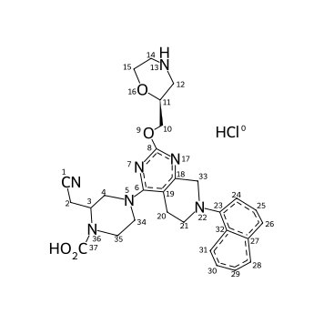 Cl.N#CCC1CN(c2nc(OC[C@@H]3CNCCO3)nc3c2CCN(c2cccc4ccccc24)C3)CCN1C(=O)O